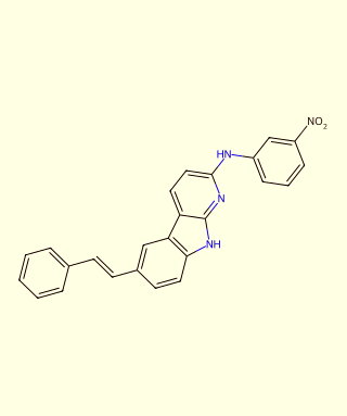 O=[N+]([O-])c1cccc(Nc2ccc3c(n2)[nH]c2ccc(C=Cc4ccccc4)cc23)c1